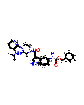 CC(C)Nc1cccnc1N1CCN(C(=O)c2c[nH]c3ccc(NC(=O)OCc4ccccc4)cc23)CC1